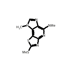 CNc1nc2nc(SC)sc2c2c1ncn2C